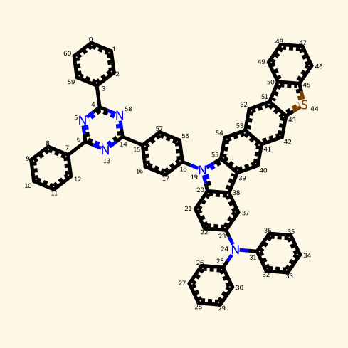 c1ccc(-c2nc(-c3ccccc3)nc(-c3ccc(-n4c5ccc(N(c6ccccc6)c6ccccc6)cc5c5cc6cc7sc8ccccc8c7cc6cc54)cc3)n2)cc1